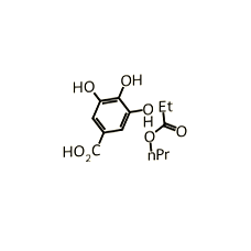 CCCOC(=O)CC.O=C(O)c1cc(O)c(O)c(O)c1